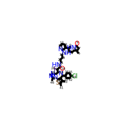 C=C(/C=C\C1=C(C)CC(=O)N1)c1cccnc1NCCCCNC(=O)[C@H](I)[C@@H]1N=C(c2ccc(Cl)cc2)c2c(sc(C)c2C)-n2c(C)nnc21